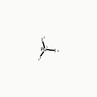 [I][Pu]([I])[I]